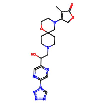 CC1=C(N2CCOC3(CCN(CC(O)c4cnc(-n5cnnn5)cn4)CC3)C2)COC1=O